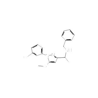 COc1cc(C(C)N[C@H](C)c2ccccc2)nn1-c1cccc(Cl)c1